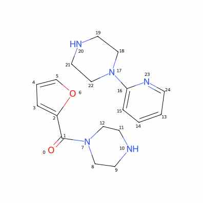 O=C(c1ccco1)N1CCNCC1.c1ccc(N2CCNCC2)nc1